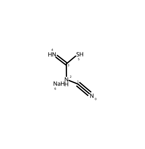 N#CNC(=N)S.[NaH]